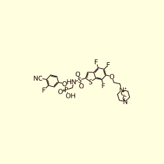 N#Cc1ccc(OP(=O)(O)CNS(=O)(=O)c2cc3c(F)c(F)c(OCC[N+]45CCN(CC4)CC5)c(F)c3s2)cc1F